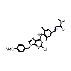 COc1ccc(Cn2cnc3c(Nc4c(C)cc(/C=C/C(=O)N(C)C)cc4C)nc(Cl)nc32)cc1